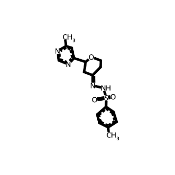 Cc1ccc(S(=O)(=O)NN=C2CCOC(c3cc(C)ncn3)C2)cc1